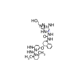 CCC(=N)/C=C(/NC(=O)N[C@H]1CCC(Oc2ccc(=N)n(C(=N)N3[C@H](C)CCC[C@@H]3C)c2)c2ccccc21)Nc1cnn(CCO)c1